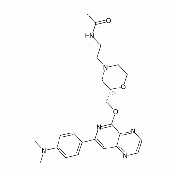 CC(=O)NCCN1CCO[C@H](COc2nc(-c3ccc(N(C)C)cc3)cc3nccnc23)C1